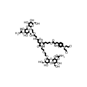 NC(=O)O[C@@H]1[C@H](O)[C@@H](O[C@@H]2[C@@H](OCCOCCNC(=O)CC(NC(=O)CCCOC(=O)[C@H](N)Cc3ccc(N(CCCl)CCCl)cc3)C(=O)NCCOCCO[C@H]3O[C@@H](CO)[C@@H](O)[C@H](O)[C@@H]3O[C@H]3O[C@H](CO)[C@@H](O)[C@H](OC(N)=O)[C@@H]3O)O[C@@H](CO)[C@@H](O)[C@@H]2O)O[C@H](CO)[C@H]1O